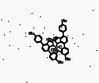 CCCC1=Cc2c(-c3ccc(C(C)(C)C)cc3)ccc(-c3ccc(C(C)(C)C)cc3)c2[CH]1[Zr]([Cl])([Cl])([CH]1C(CCC)=Cc2c(-c3ccc(C(C)(C)C)cc3)ccc(-c3ccc(C(C)(C)C)cc3)c21)[SiH](C)C